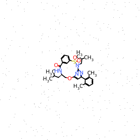 Cc1cccc(C)c1-c1cc2nc(n1)N(CC(C)C)S(=O)(=O)c1cccc(c1)C(=O)N[C@H](CC(C)C)CO2